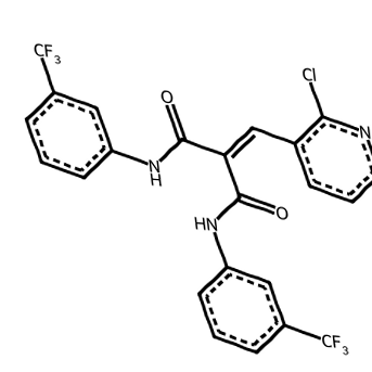 O=C(Nc1cccc(C(F)(F)F)c1)C(=Cc1cccnc1Cl)C(=O)Nc1cccc(C(F)(F)F)c1